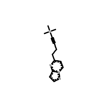 C[Si](C)(C)C#CCCc1ccn2nccc2n1